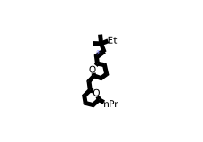 CCCC1CCCC(CC2CCCC(/C=C/C(C)(C)CC)O2)O1